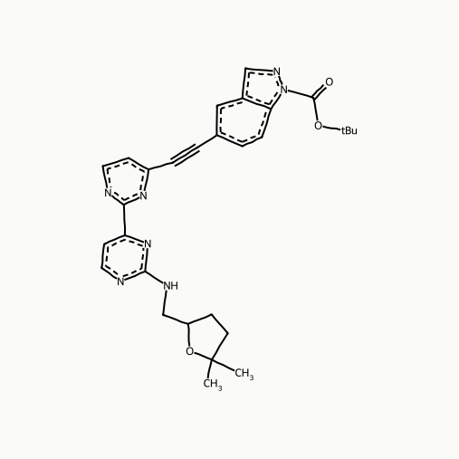 CC(C)(C)OC(=O)n1ncc2cc(C#Cc3ccnc(-c4ccnc(NCC5CCC(C)(C)O5)n4)n3)ccc21